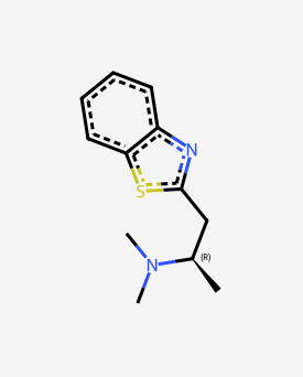 C[C@H](Cc1nc2ccccc2s1)N(C)C